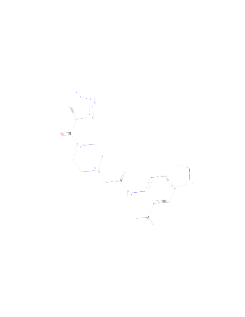 CC(=O)c1cc2c(cc1NC(=O)CN1CCN(C(=O)c3c[nH]nn3)CC1)OCO2